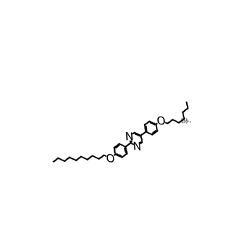 CCCCCCCCCCOc1ccc(-c2ncc(-c3ccc(OCCC[C@@H](C)CCC)cc3)cn2)cc1